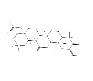 CC1(C)CC[C@]2(CC(=O)O)CC[C@]3(C)[C@H](C(=O)C[C@@H]4[C@@]5(C)C/C(=C/O)C(=O)C(C)(C)[C@@H]5CC[C@]43C)[C@@H]2C1